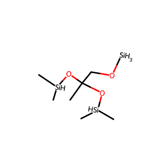 C[SiH](C)OC(C)(CO[SiH3])O[SiH](C)C